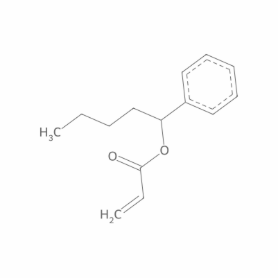 C=CC(=O)OC(CCCC)c1ccccc1